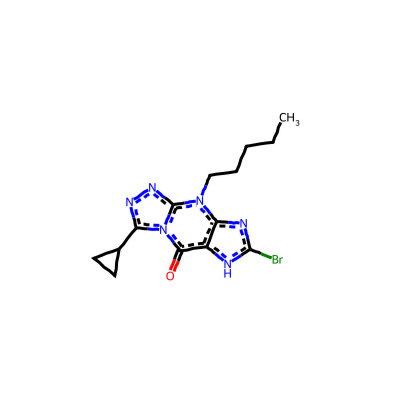 CCCCCn1c2nc(Br)[nH]c2c(=O)n2c(C3CC3)nnc12